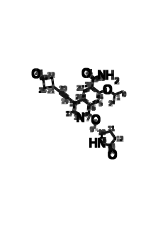 CC(C)Oc1cc2c(OC[C@@H]3CCC(=O)N3)ncc(C#CC3CC(=O)C3)c2cc1C(N)=O